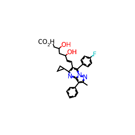 Cc1nn2c(-c3ccc(F)cc3)c(/C=C/C(O)CC(O)CC(=O)O)c(C3CC3)nc2c1-c1ccccc1